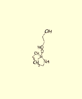 C=CC.O=C1CCCN1.OCCO